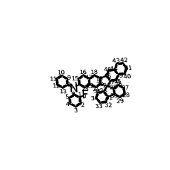 Fc1ccccc1N(c1ccccc1)c1ccc2cc3c(cc2c1)C1(c2ccccc2-c2ccccc21)c1cc2ccccc2cc1-3